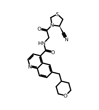 N#C[C@@H]1CSCN1C(=O)CNC(=O)c1ccnc2ccc(CC3CCOCC3)cc12